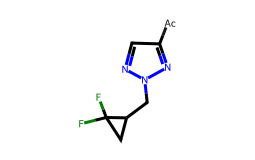 CC(=O)c1cnn(CC2CC2(F)F)n1